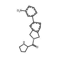 O=C(C1CCCN1)N1Cc2ccc(-c3cccc([N+](=O)[O-])c3)cc2C1